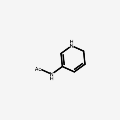 CC(=O)NC1=CNCC=C1